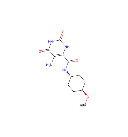 CCCCO[C@H]1CC[C@@H](NC(=O)c2[nH]c(=O)[nH]c(=O)c2N)CC1